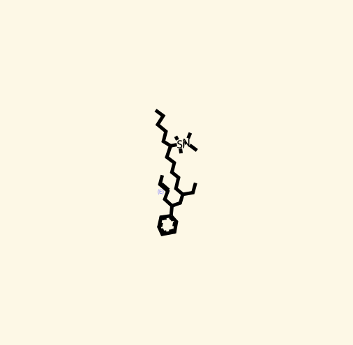 C/C=C/CC(CC(CC)CCCCCC(CCCCC)[Si](C)(C)N(C)C)c1ccccc1